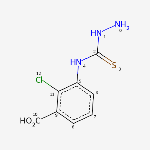 NNC(=S)Nc1cccc(C(=O)O)c1Cl